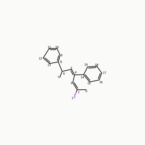 C/C(I)=C\C(=C/C(C)c1ccccc1)c1ccccc1